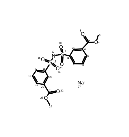 COC(=O)c1cccc(S(=O)(=O)[N-]S(=O)(=O)c2cccc(C(=O)OC)c2)c1.[Na+]